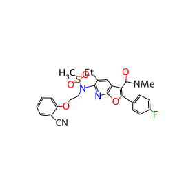 CCc1cc2c(C(=O)NC)c(-c3ccc(F)cc3)oc2nc1N(CCOc1ccccc1C#N)S(C)(=O)=O